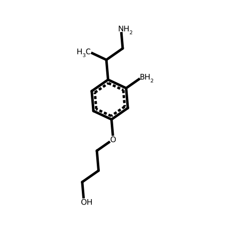 Bc1cc(OCCCO)ccc1C(C)CN